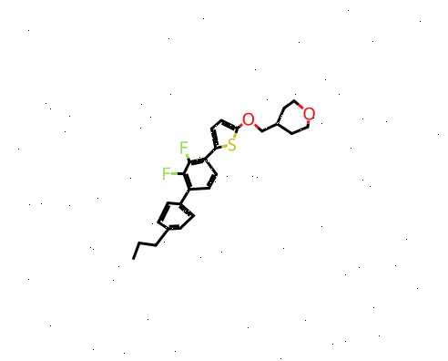 CCCc1ccc(-c2ccc(-c3ccc(OCC4CCOCC4)s3)c(F)c2F)cc1